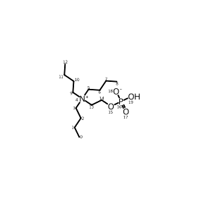 CCCC[N+](CCCC)(CCCC)CCOP(=O)([O-])O